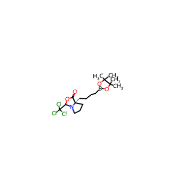 CC1(C)OB(CCCC[C@]23CCCN2C(C(Cl)(Cl)Cl)OC3=O)OC1(C)C